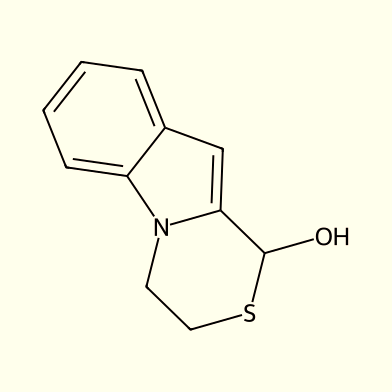 OC1SCCn2c1cc1ccccc12